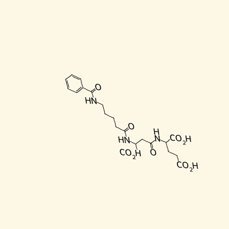 O=C(O)CCC(NC(=O)CC(NC(=O)CCCCNC(=O)c1ccccc1)C(=O)O)C(=O)O